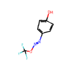 Oc1ccc(N=NOC(F)(F)F)cc1